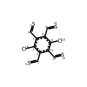 S=Cc1c(Cl)c(C=S)c(C=S)c(Cl)c1C=S